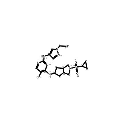 CC(C)Cn1cc(Nc2ncc(Cl)c(NC3CC4CN(S(=O)(=O)C5CC5)CC4C3)n2)cn1